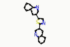 c1ccc2ncc(-c3cnc(-c4cnc5ccccc5c4)s3)cc2c1